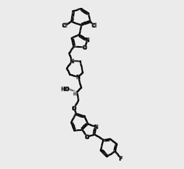 O[C@@H](COc1ccc2oc(-c3ccc(F)cc3)nc2c1)CN1CCN(Cc2cc(-c3c(Cl)cccc3Cl)no2)CC1